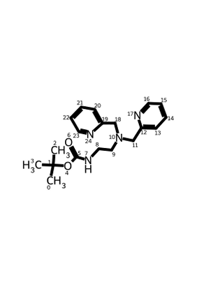 CC(C)(C)OC(=O)NCCN(Cc1ccccn1)Cc1ccccn1